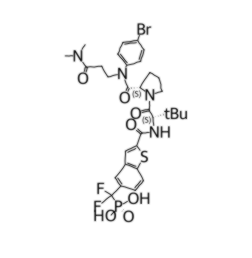 CN(C)C(=O)CCN(C(=O)[C@@H]1CCCN1C(=O)[C@@H](NC(=O)c1cc2cc(C(F)(F)P(=O)(O)O)ccc2s1)C(C)(C)C)c1ccc(Br)cc1